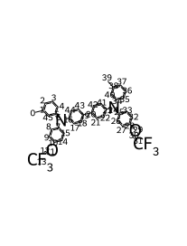 Cc1cccc(N(c2ccc(OCC(F)(F)F)cc2)c2ccc(-c3ccc(N(c4ccc(OCC(F)(F)F)cc4)c4cccc(C)c4)cc3)cc2)c1